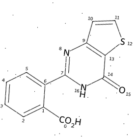 O=C(O)c1ccccc1-c1nc2ccsc2c(=O)[nH]1